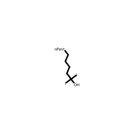 CCCCCCCCCC(O)(I)I